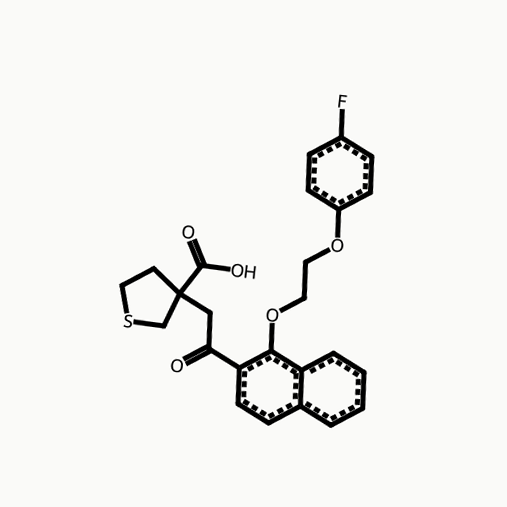 O=C(CC1(C(=O)O)CCSC1)c1ccc2ccccc2c1OCCOc1ccc(F)cc1